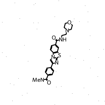 CNC(=O)c1ccc(-c2cn3c(n2)sc2cc(C(=O)NCCN4CCOCC4)ccc23)cc1